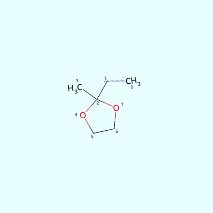 C[CH]C1(C)OCCO1